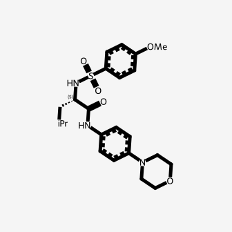 COc1ccc(S(=O)(=O)N[C@@H](CC(C)C)C(=O)Nc2ccc(N3CCOCC3)cc2)cc1